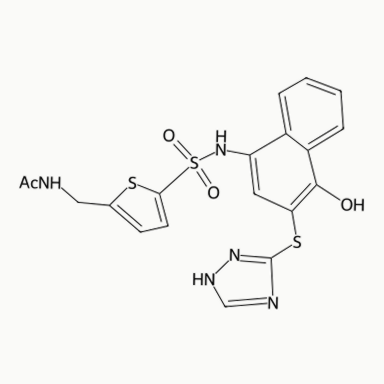 CC(=O)NCc1ccc(S(=O)(=O)Nc2cc(Sc3nc[nH]n3)c(O)c3ccccc23)s1